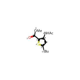 COC(=O)c1sc(C(C)(C)C)cc1NC(C)=O